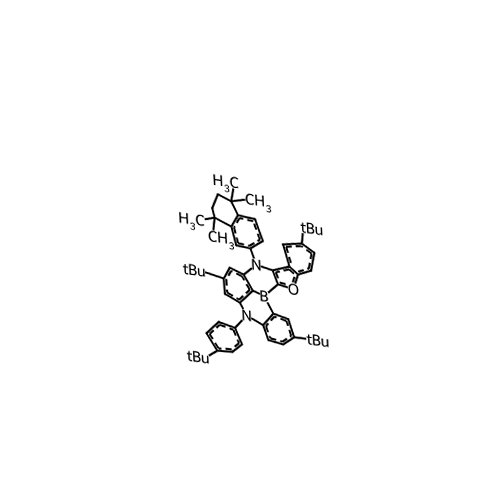 CC(C)(C)c1ccc(N2c3ccc(C(C)(C)C)cc3B3c4oc5ccc(C(C)(C)C)cc5c4N(c4ccc5c(c4)C(C)(C)CCC5(C)C)c4cc(C(C)(C)C)cc2c43)cc1